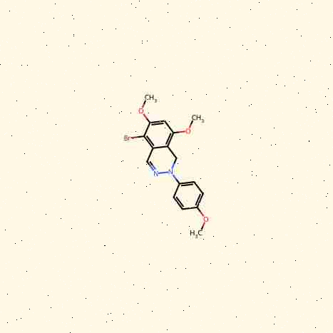 COc1ccc(N2Cc3c(OC)cc(OC)c(Br)c3C=N2)cc1